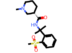 CN1CCC[C@H](C(=O)NC(C)(C)c2ccccc2S(C)(=O)=O)C1